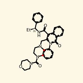 CC[C@H](NC(=O)c1c(CN2CCN(C(=O)N3CCOCC3)CC2)n(-c2ccccc2)c(=O)c2ccccc12)c1ccccc1